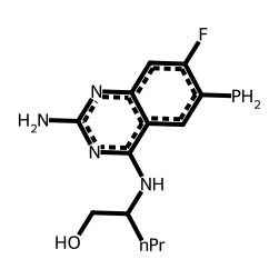 CCCC(CO)Nc1nc(N)nc2cc(F)c(P)cc12